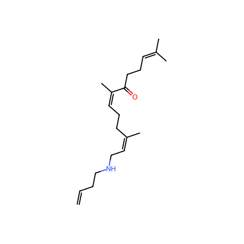 C=CCCNCC=C(C)CCC=C(C)C(=O)CCC=C(C)C